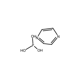 OP(O)O.c1cnccn1